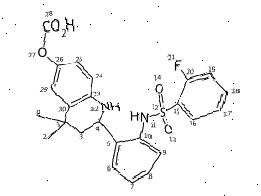 CC1(C)CC(c2ccccc2NS(=O)(=O)c2ccccc2F)Nc2ccc(OC(=O)O)cc21